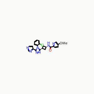 COc1ccc(C(=O)N[C@H]2C[C@H](c3nnc(-c4ccncn4)n3-c3ccccc3Cl)C2)nc1